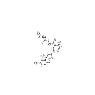 CN1C=C=C(C(F)(F)F)C=C1C1(C(F)(F)F)CC(c2ccc(Cl)c(C(=O)NCC(=O)NCC(F)(F)F)c2)=NO1